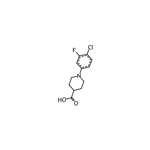 O=C(O)C1CCN(c2ccc(Cl)c(F)c2)CC1